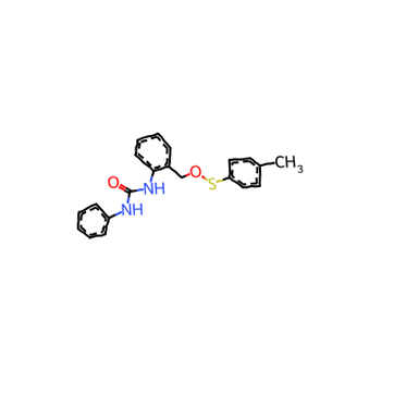 Cc1ccc(SOCc2ccccc2NC(=O)Nc2ccccc2)cc1